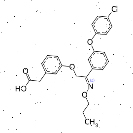 CCCO/N=C(\COc1cccc(CC(=O)O)c1)c1cccc(Oc2ccc(Cl)cc2)c1